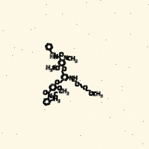 C=Nc1cc(OCc2cc(COc3ccc(C(=O)N4c5ccccc5C[C@H]4C)cc3OC)cc(NCCOCCOCCOC)c2)c(OC)cc1C(=O)NCCc1ccccc1